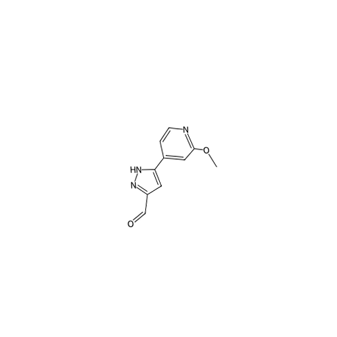 COc1cc(-c2cc(C=O)n[nH]2)ccn1